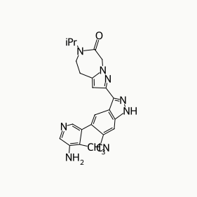 Cc1c(N)cncc1-c1cc2c(-c3cc4n(n3)CC(=O)N(C(C)C)CC4)n[nH]c2cc1C#N